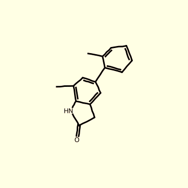 Cc1ccccc1-c1cc(C)c2c(c1)CC(=O)N2